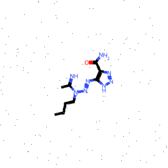 CCCCN(N=Nc1[nH]nnc1C(N)=O)C(C)=N